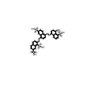 Nc1ccc(N=Nc2ccc(N=Nc3ccc4ccc(S(=O)(=O)O)cc4c3S(=O)(=O)O)c3cc(S(=O)(=O)O)ccc23)c2cccc(S(=O)(=O)O)c12